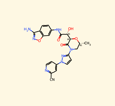 C[C@@H]1CN(c2ccn(-c3ccnc(C#N)c3)n2)C(=O)[C@@H]([C@@H](O)C(=O)Nc2ccc3c(N)noc3c2)O1